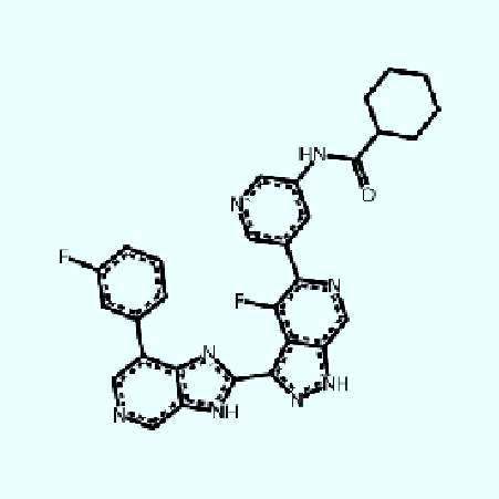 O=C(Nc1cncc(-c2ncc3[nH]nc(-c4nc5c(-c6cccc(F)c6)cncc5[nH]4)c3c2F)c1)C1CCCCC1